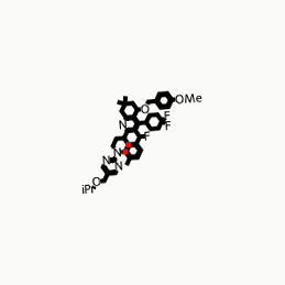 COc1ccc(COC2CC(C)(C)Cc3nc(C4CCN(c5ncc(COC(C)C)cn5)CC4)c(C(F)c4ccc(C)cc4)c(C4CCC(F)(F)CC4)c32)cc1